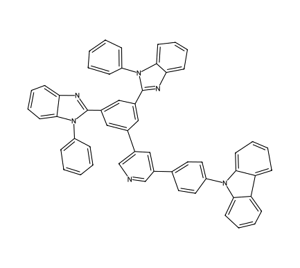 c1ccc(-n2c(-c3cc(-c4cncc(-c5ccc(-n6c7ccccc7c7ccccc76)cc5)c4)cc(-c4nc5ccccc5n4-c4ccccc4)c3)nc3ccccc32)cc1